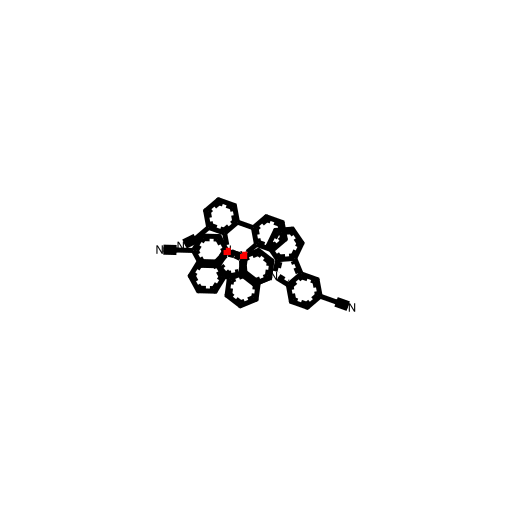 N#Cc1ccc2c(c1)c1ccccc1n2-c1cccc2c3cc(C#N)ccc3n(-c3ccccc3-c3cccc(C#N)c3-n3c4ccccc4c4ccccc43)c12